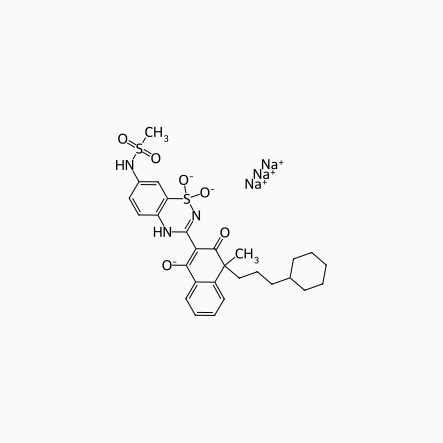 CC1(CCCC2CCCCC2)C(=O)C(C2=NS([O-])([O-])c3cc(NS(C)(=O)=O)ccc3N2)=C([O-])c2ccccc21.[Na+].[Na+].[Na+]